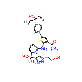 CC(C)(O)c1ccc(-c2cc(C(N)=O)c(Nc3cccc(C(C)(O)c4cn(CCO)nn4)n3)s2)c(F)c1